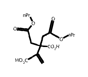 C=C(C(=O)O)C(CC(=O)OCCC)(CC(=O)OCCC)C(=O)O